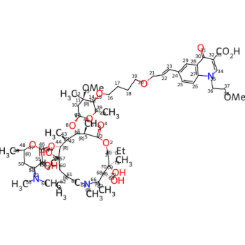 CC[C@H]1OC(=O)[C@H](C)[C@@H](O[C@H]2C[C@@](C)(OC)[C@@H](OCCCCOCC=Cc3ccc4c(c3)c(=O)c(C(=O)O)cn4CCOC)[C@H](C)O2)[C@H](C)[C@@H](O[C@@H]2O[C@H](C)C[C@H](N(C)C)[C@H]2O)[C@](C)(O)C[C@@H](C)CN(C)[C@H](C)[C@@H](O)[C@]1(C)O